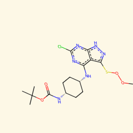 COOSc1n[nH]c2nc(Cl)nc(N[C@H]3CC[C@@H](NC(=O)OC(C)(C)C)CC3)c12